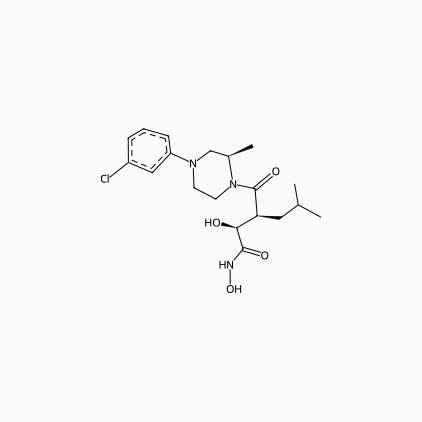 CC(C)C[C@H](C(=O)N1CCN(c2cccc(Cl)c2)C[C@H]1C)[C@H](O)C(=O)NO